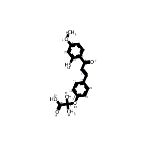 COc1ccc(C(=O)/C=C/c2ccc(OC(C)(C)C(=O)O)cc2)c(S)c1